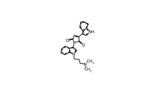 CN(C)CCCn1cc(N2C(=O)C=C(c3c[nH]c4ccccc34)C2=O)c2ccccc21